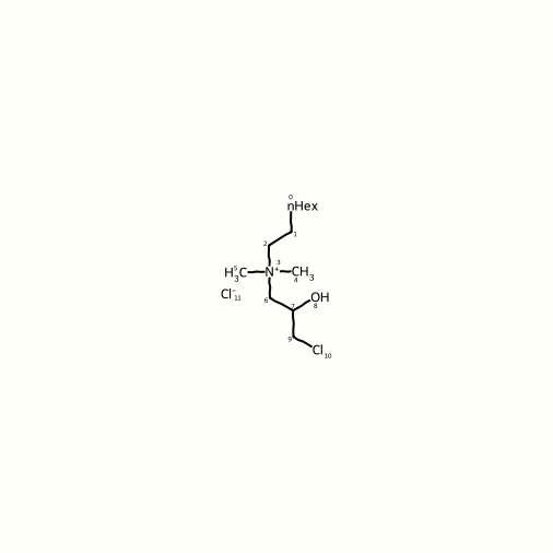 CCCCCCCC[N+](C)(C)CC(O)CCl.[Cl-]